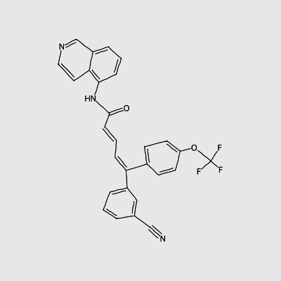 N#Cc1cccc(/C(=C/C=C/C(=O)Nc2cccc3cnccc23)c2ccc(OC(F)(F)F)cc2)c1